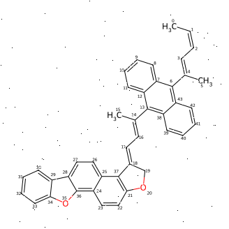 C/C=C\C=C(/C)c1c2ccccc2c(/C(C)=C/C=C2\COc3ccc4c(ccc5c6ccccc6oc45)c32)c2ccccc12